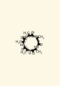 CC1CC(=O)NC(C)C(=O)NC(C)C(=O)NC(C)C(=O)NC(C)C(=O)N1